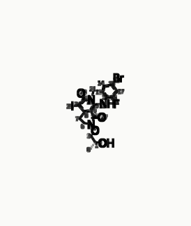 C[C@@H](O)CON1CCc2c(c(Nc3ccc(Br)cc3F)n(C)c(=O)c2I)C1=O